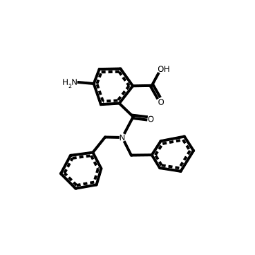 Nc1ccc(C(=O)O)c(C(=O)N(Cc2ccccc2)Cc2ccccc2)c1